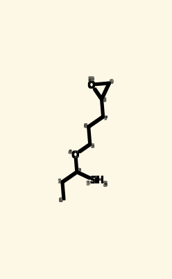 CCC([SiH3])OCCCC1CO1